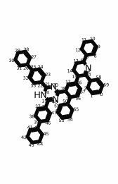 C1=CCC(C2=NC(C3C=CCCC3)CCC2C2=CC(C3=NC(C4C=CC(C5C=CCCC5)=CC4)NC(C4=CCC(C5=CCCCC5)C=C4)=N3)C(C3C=CC=CC3)C=C2)C=C1